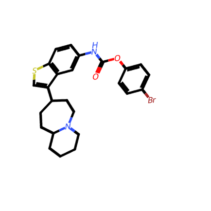 O=C(Nc1ccc2scc(C3CCC4CCCCN4CC3)c2c1)Oc1ccc(Br)cc1